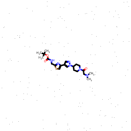 CN(C)CC(=O)N1CCC(n2cc(-c3csc(CNC(=O)OC(C)(C)C)n3)cn2)CC1